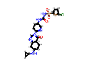 O=C(Nc1ccc(-n2cnc3cc(NC4CC4)ccc3c2=O)nc1)NS(=O)(=O)c1ccc(Cl)s1